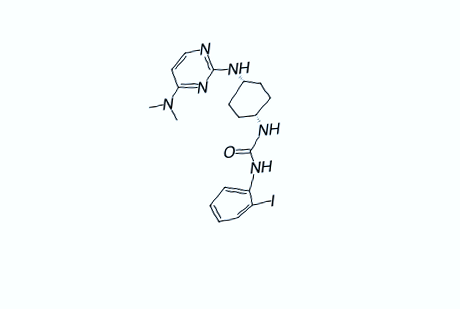 CN(C)c1ccnc(N[C@H]2CC[C@@H](NC(=O)Nc3ccccc3I)CC2)n1